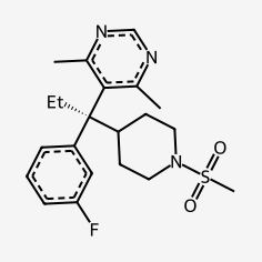 [CH2]C[C@](c1cccc(F)c1)(c1c(C)ncnc1C)C1CCN(S(C)(=O)=O)CC1